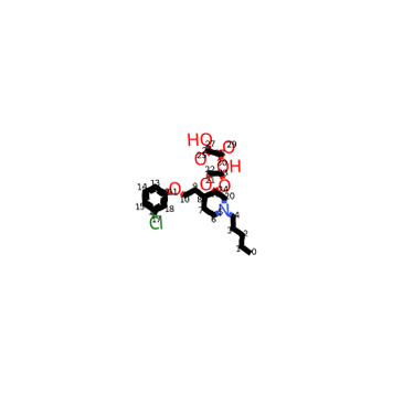 CCCCCN1CCC(CCOc2cccc(Cl)c2)C2(C1)OCCO2.O=C(O)C(=O)O